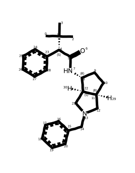 CC(C)(C)[C@H](C(=O)N[C@@H]1CC[C@H]2CN(Cc3ccccc3)C[C@H]21)c1ccccc1